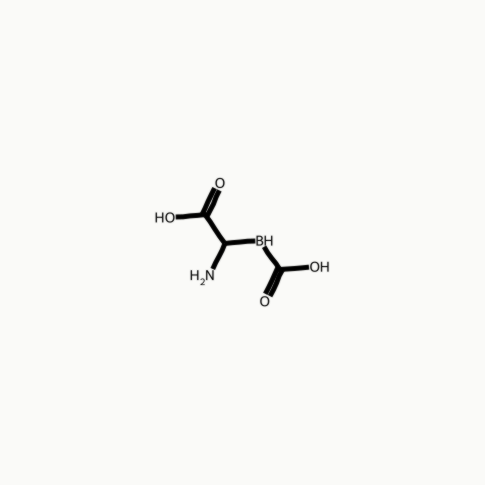 NC(BC(=O)O)C(=O)O